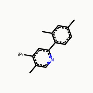 Cc1ccc(-c2cc(C(C)C)c(C)cn2)c(C)c1